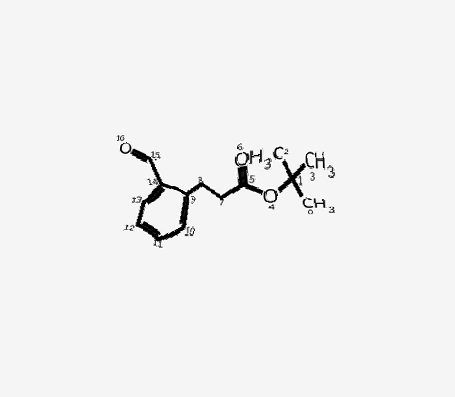 CC(C)(C)OC(=O)CCc1ccccc1[C]=O